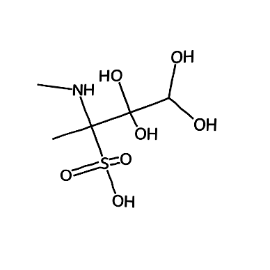 CNC(C)(C(O)(O)C(O)O)S(=O)(=O)O